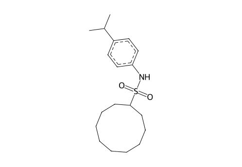 CC(C)c1ccc(NS(=O)(=O)C2CCCCCCCCC2)cc1